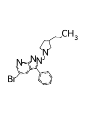 CCCC1CCN(Cn2nc3ncc(Br)cc3c2-c2ccccc2)C1